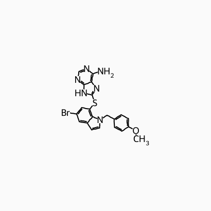 COc1ccc(Cn2ccc3cc(Br)cc(Sc4nc5c(N)ncnc5[nH]4)c32)cc1